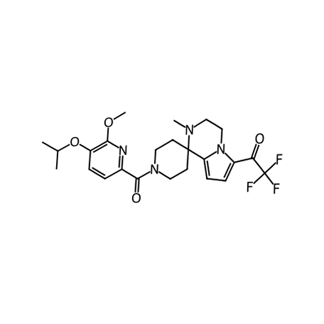 COc1nc(C(=O)N2CCC3(CC2)c2ccc(C(=O)C(F)(F)F)n2CCN3C)ccc1OC(C)C